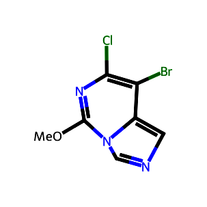 COc1nc(Cl)c(Br)c2cncn12